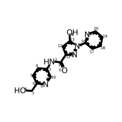 O=C(Nc1ccc(CO)nc1)c1cc(O)n(-c2ccccn2)n1